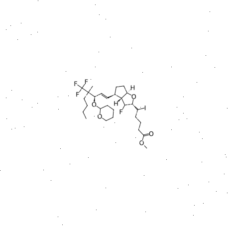 CCCCC(C)([C@@H](/C=C/[C@H]1CC[C@H]2O[C@@H](C(I)CCCC(=O)OC)C(F)[C@H]12)OC1CCCCO1)C(F)(F)F